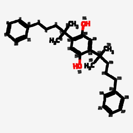 CC(C)(CCCc1ccccc1)c1cc(O)c(C(C)(C)CCCc2ccccc2)cc1O